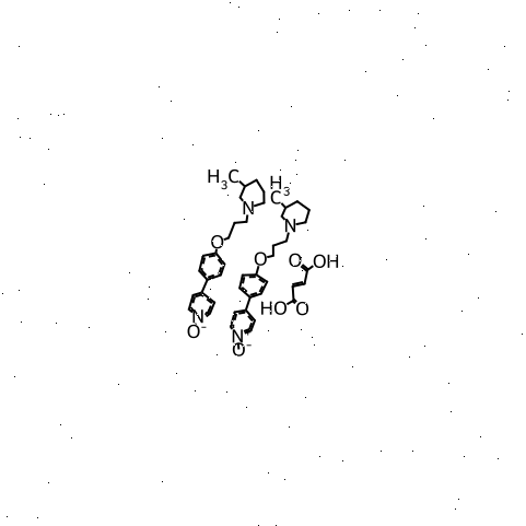 CC1CCCN(CCCOc2ccc(-c3cc[n+]([O-])cc3)cc2)C1.CC1CCCN(CCCOc2ccc(-c3cc[n+]([O-])cc3)cc2)C1.O=C(O)/C=C/C(=O)O